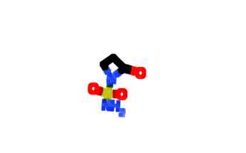 NS(=O)(=O)N1CCC1=O